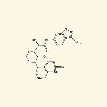 Nc1onc2cc(NC(=O)[C@H](O)[C@H]3OCCN(c4cccc5[nH]c(=O)ccc45)C3=O)ccc12